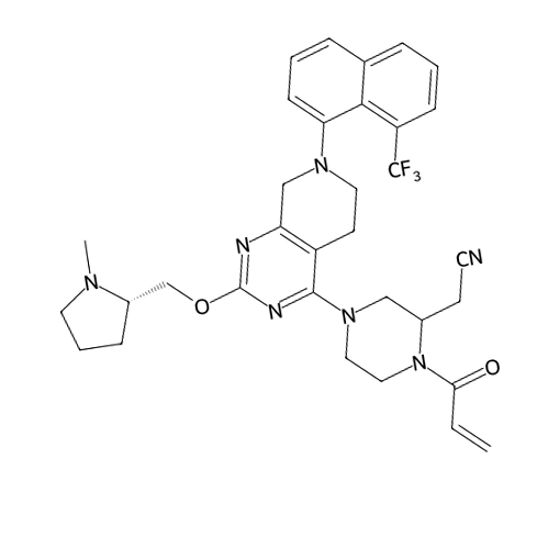 C=CC(=O)N1CCN(c2nc(OC[C@@H]3CCCN3C)nc3c2CCN(c2cccc4cccc(C(F)(F)F)c24)C3)CC1CC#N